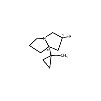 CC1([C@]23CCCN2C[C@H](F)C3)CC1